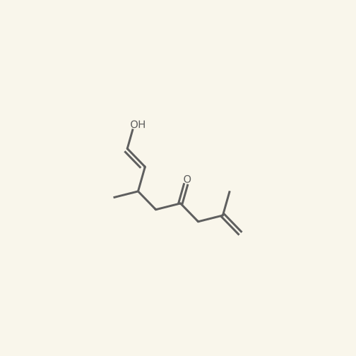 C=C(C)CC(=O)CC(C)C=CO